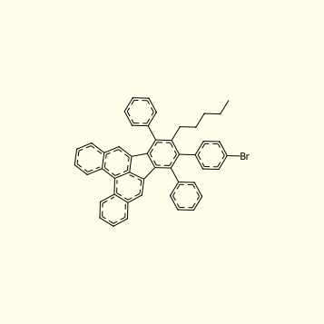 CCCCCc1c(-c2ccc(Br)cc2)c(-c2ccccc2)c2c(c1-c1ccccc1)-c1cc3ccccc3c3c1c-2cc1ccccc13